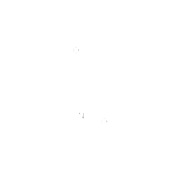 Cc1noc2c1C(=O)CCCC2